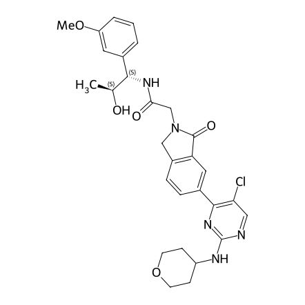 COc1cccc([C@H](NC(=O)CN2Cc3ccc(-c4nc(NC5CCOCC5)ncc4Cl)cc3C2=O)[C@H](C)O)c1